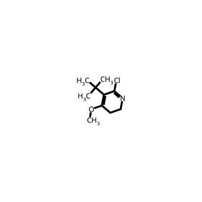 COC1=C(C(C)(C)C)C(Cl)=NCC1